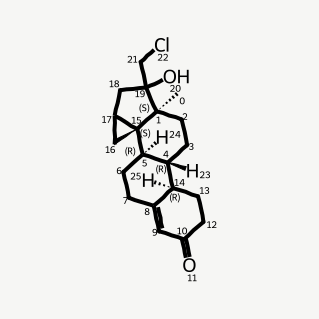 C[C@]12CC[C@H]3[C@@H](CCC4=CC(=O)CC[C@@H]43)[C@@]13CC3CC2(O)CCl